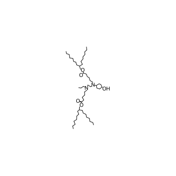 CCCCCCCCC(CCCCCCCC)COC(=O)CCCCCN(CCC)CCN(CCCCCC(=O)OCC(CCCCCCCC)CCCCCCCC)C1CCC(O)CC1